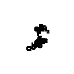 CCn1cc(C(=O)NCc2ccc(Cl)cc2)c(=O)c2cc(C#CCOC(=O)C(N)C(C)C)sc21.Cl